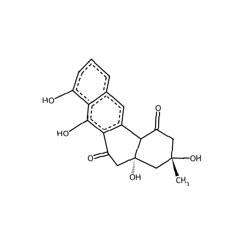 C[C@]1(O)CC(=O)C2c3cc4cccc(O)c4c(O)c3C(=O)C[C@]2(O)C1